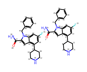 NC(=O)c1cc2c(C3CCNCC3)cc(F)cc2n1Cc1ccccc1.NC(=O)c1cc2c(C3CCNCC3)cc(F)cc2n1Cc1ccccc1